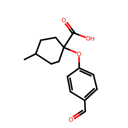 CC1CCC(Oc2ccc(C=O)cc2)(C(=O)O)CC1